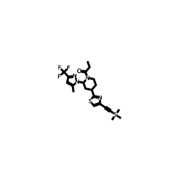 CCC(=O)N1CCC(c2nc(C#C[Si](C)(C)C)cs2)CC1n1nc(C(F)(F)F)cc1C